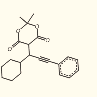 CC1(C)OC(=O)C(C(C#Cc2ccccc2)C2CCCCC2)C(=O)O1